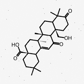 CC1(C)CC[C@]2(C(=O)O)CC[C@]3(C)C(=CC(=O)C4[C@@]5(CO)CCC(=O)C(C)(C)C5CC[C@]43C)C2C1